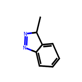 CC1N=Nc2ccccc21